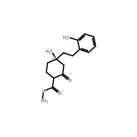 COC(=O)C1CC[C@](C)(CCc2ccccc2C)CC1=O